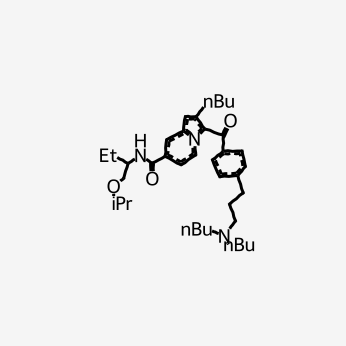 CCCCc1cc2cc(C(=O)NC(CC)COC(C)C)ccn2c1C(=O)c1ccc(CCCN(CCCC)CCCC)cc1